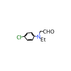 CCN(CC=O)c1ccc(Cl)cc1